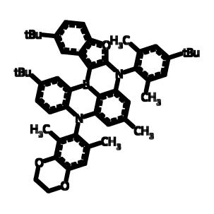 Cc1cc2c3c(c1)N(c1c(C)cc(C(C)(C)C)cc1C)c1oc4ccc(C(C)(C)C)cc4c1B3c1cc(C(C)(C)C)ccc1N2c1c(C)cc2c(c1C)OCCO2